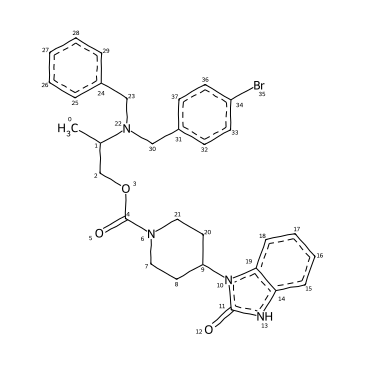 CC(COC(=O)N1CCC(n2c(=O)[nH]c3ccccc32)CC1)N(Cc1ccccc1)Cc1ccc(Br)cc1